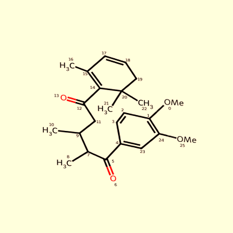 COc1ccc(C(=O)C(C)C(C)CC(=O)C2=C(C)C=CCC2(C)C)cc1OC